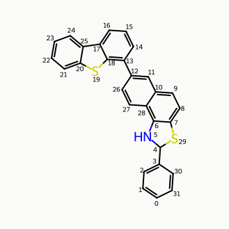 c1ccc(C2Nc3c(ccc4cc(-c5cccc6c5sc5ccccc56)ccc34)S2)cc1